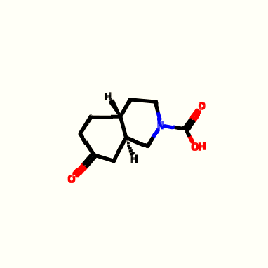 O=C1CC[C@@H]2CCN(C(=O)O)C[C@H]2C1